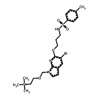 Cc1ccc(S(=O)(=O)NCCCOc2nc3c(ccn3COCC[Si](C)(C)C)cc2Br)cc1